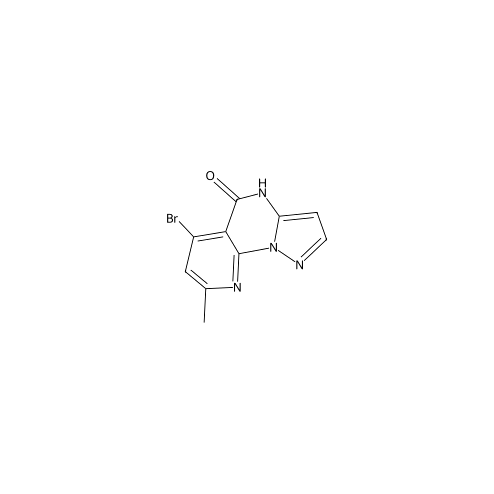 Cc1cc(Br)c2c(=O)[nH]c3ccnn3c2n1